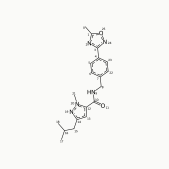 Cc1nc(-c2ccc(CNC(=O)c3cc(CC(C)C)nn3C)cc2)no1